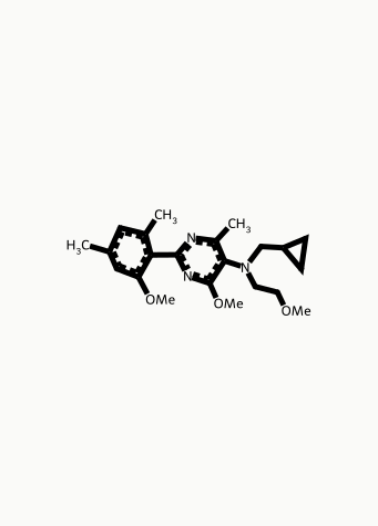 COCCN(CC1CC1)c1c(C)nc(-c2c(C)cc(C)cc2OC)nc1OC